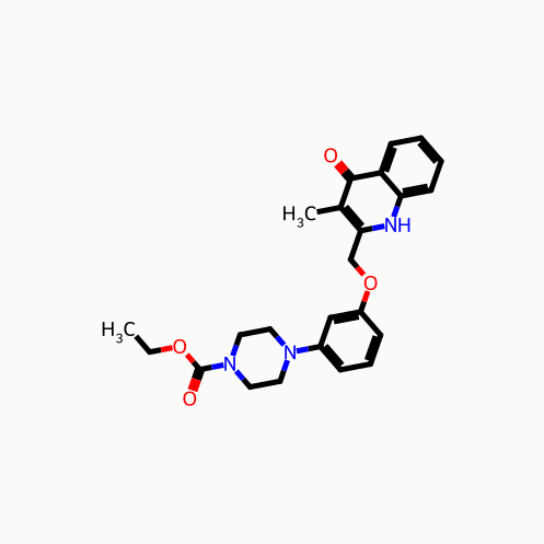 CCOC(=O)N1CCN(c2cccc(OCc3[nH]c4ccccc4c(=O)c3C)c2)CC1